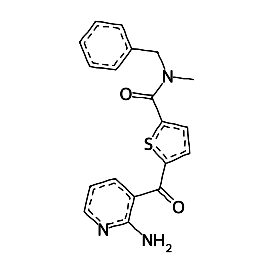 CN(Cc1ccccc1)C(=O)c1ccc(C(=O)c2cccnc2N)s1